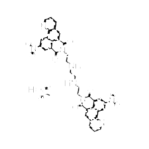 CS(=O)(=O)O.O=C1c2cc([N+](=O)[O-])cc3c2c(cc2cccnc23)C(=O)N1CCNCCNCCN1C(=O)c2cc([N+](=O)[O-])cc3c2c(cc2cccnc23)C1=O